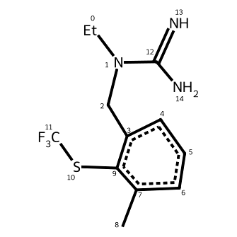 CCN(Cc1cccc(C)c1SC(F)(F)F)C(=N)N